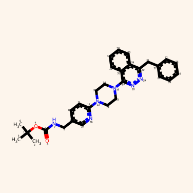 CC(C)(C)OC(=O)NCc1ccc(N2CCN(c3nnc(Cc4ccccc4)c4ccccc34)CC2)nc1